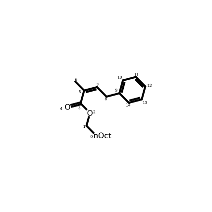 CCCCCCCCCOC(=O)C(C)=CCc1ccccc1